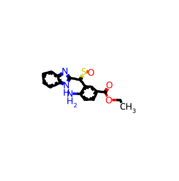 CCOC(=O)c1ccc(N)c(C(=S=O)c2nc3ccccc3[nH]2)c1